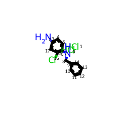 Cl.Cl.Nc1ccc(NCc2ccccc2)c(Cl)c1